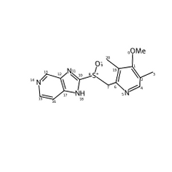 COc1c(C)cnc(C[S+]([O-])c2nc3cnccc3[nH]2)c1C